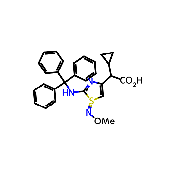 CON=S1C=C(C(C(=O)O)C2CC2)N=C1NC(c1ccccc1)(c1ccccc1)c1ccccc1